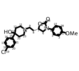 COc1ccc(N2C[C@H](CCN3CCC(O)(c4ccc(Cl)cc4)CC3)OC2=O)cc1